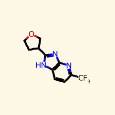 FC(F)(F)c1ccc2[nH]c(C3CCOC3)nc2n1